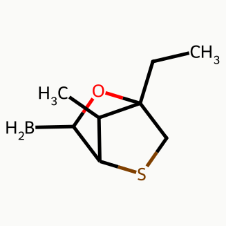 BC1OC2(CC)CSC1C2C